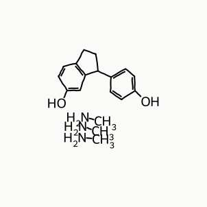 CN.CN.CN.Oc1ccc(C2CCc3ccc(O)cc32)cc1